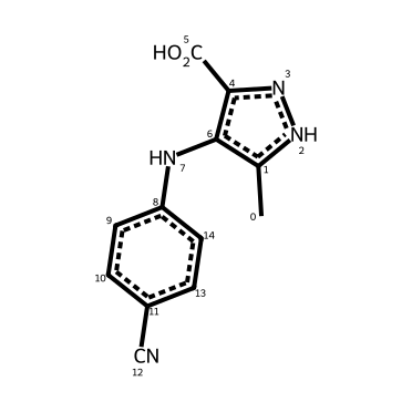 Cc1[nH]nc(C(=O)O)c1Nc1ccc(C#N)cc1